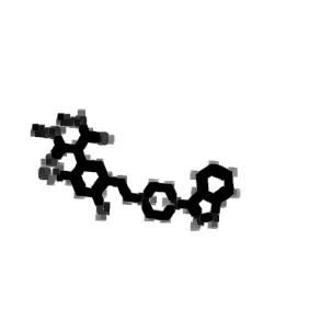 COC(=O)C(C(=O)OC)c1cc(CCN2CCN(c3nsc4ccccc34)CC2)c(Cl)cc1[N+](=O)[O-]